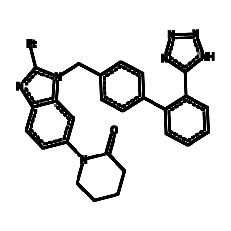 CCc1nc2ccc(N3CCCCC3=O)cc2n1Cc1ccc(-c2ccccc2-c2nnn[nH]2)cc1